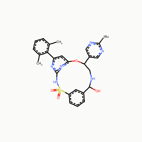 Cc1cccc(C)c1-c1cc2nc(n1)NS(=O)(=O)c1cccc(c1)C(O)NCC(c1cnc(C(C)(C)C)nc1)O2